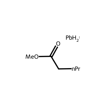 CCCCC(=O)OC.[PbH2]